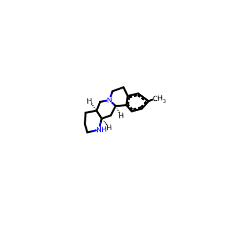 Cc1ccc2c(c1)CCN1C[C@@H]3CCCN[C@@H]3C[C@H]21